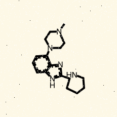 CN1CCN(c2cccc3[nH]c(C4CCCCN4)nc23)CC1